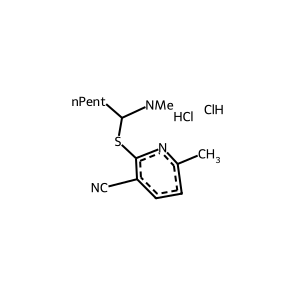 CCCCCC(NC)Sc1nc(C)ccc1C#N.Cl.Cl